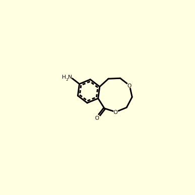 Nc1ccc2c(c1)CCOCCOC2=O